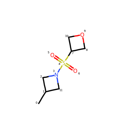 CC1CN(S(=O)(=O)C2COC2)C1